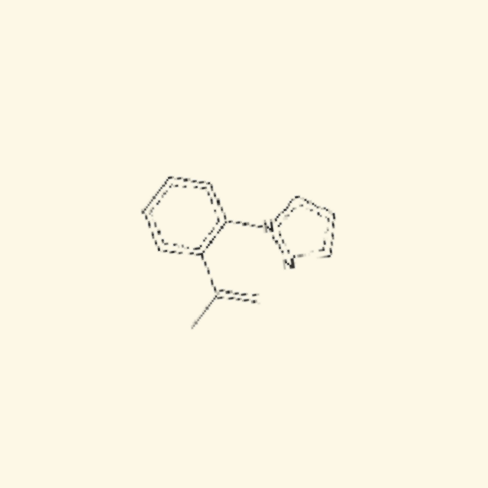 C=C(C)c1ccccc1-n1cccn1